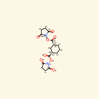 O=C(ON1C(=O)CCC1=O)[C@@H]1CCC[C@H](C(=O)ON2C(=O)CCC2=O)C1